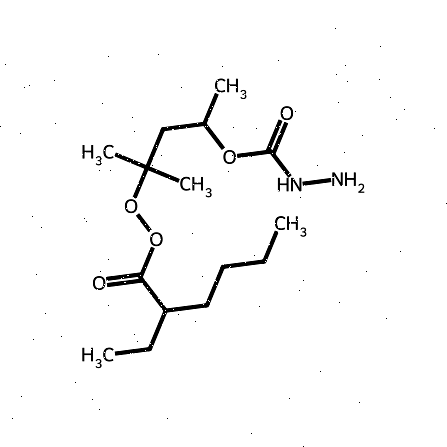 CCCCC(CC)C(=O)OOC(C)(C)CC(C)OC(=O)NN